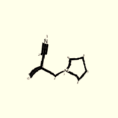 C=C(C#N)CN1CCCC1